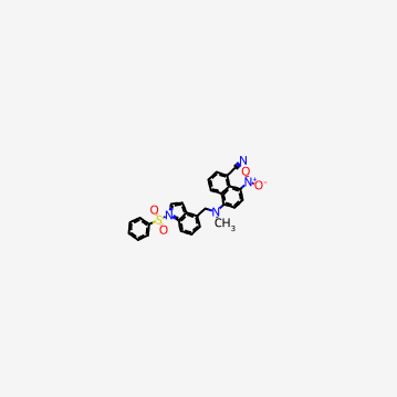 CN(Cc1cccc2c1ccn2S(=O)(=O)c1ccccc1)c1ccc([N+](=O)[O-])c2c(C#N)cccc12